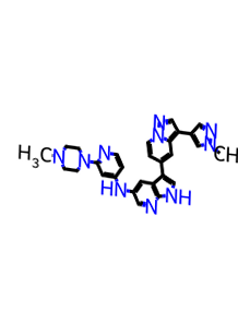 CN1CCN(c2cc(Nc3cnc4[nH]cc(-c5ccn6ncc(-c7cnn(C)c7)c6c5)c4c3)ccn2)CC1